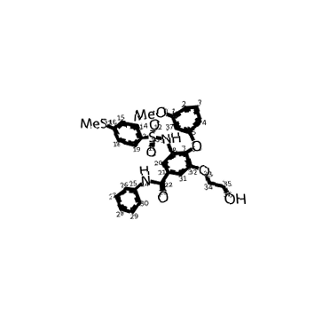 COc1cccc(Oc2c(NS(=O)(=O)c3ccc(SC)cc3)cc(C(=O)Nc3ccccc3)cc2OCCO)c1